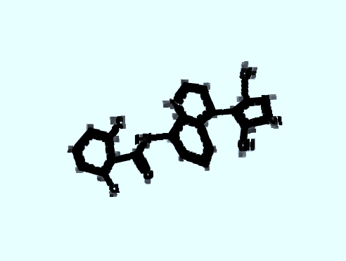 O=C(Nc1cccc2c(-c3c(O)n[nH]c3O)ccnc12)c1c(Cl)cccc1Cl